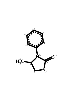 CC1CSC(=S)N1c1ccccc1